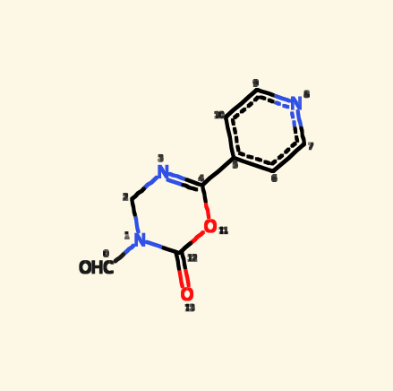 O=CN1CN=C(c2ccncc2)OC1=O